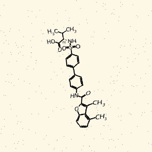 Cc1cccc2oc(C(=O)Nc3ccc(-c4ccc(S(=O)(=O)N[C@H](C(=O)O)C(C)C)cc4)cc3)c(C)c12